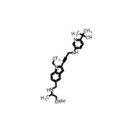 COCC(C)NCc1ccc2c(c1)cc(C#CCNc1ccc(C(C)(C)C#N)nc1)n2CC(F)(F)F